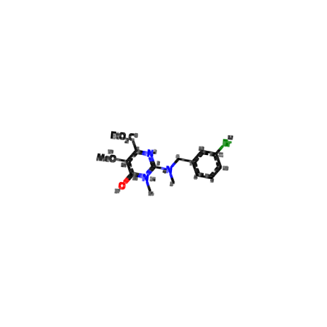 CCOC(=O)c1nc(N(C)Cc2cccc(Br)c2)n(C)c(=O)c1OC